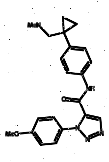 CNCC1(c2ccc(NC(=O)c3cnnn3-c3ccc(OC)cc3)cc2)CC1